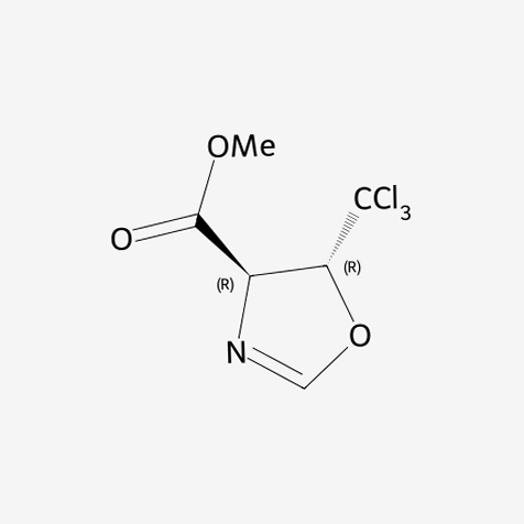 COC(=O)[C@@H]1N=CO[C@H]1C(Cl)(Cl)Cl